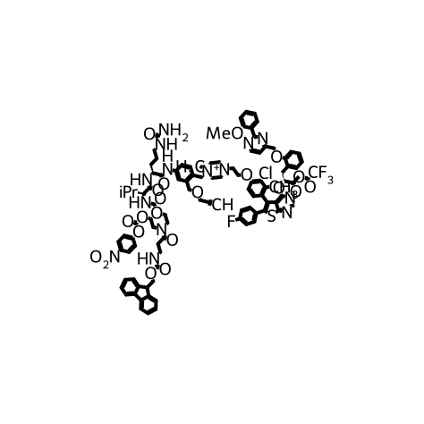 C#CCOCc1cc(NC(=O)[C@H](CCCNC(N)=O)NC(=O)[C@@H](NC(=O)OCCN(CCOC(=O)Oc2ccc([N+](=O)[O-])cc2)C(=O)CCNC(=O)OCC2c3ccccc3-c3ccccc32)C(C)C)ccc1C[N+]1(C)CCN(CCOc2ccc(-c3c(-c4ccc(F)cc4)sc4ncnc(O[C@H](Cc5ccccc5OCc5ccnc(-c6ccccc6OC)n5)C(=O)OC(=O)C(F)(F)F)c34)c(C)c2Cl)CC1